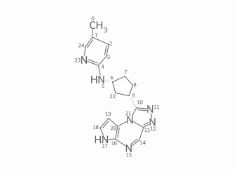 Cc1ccc(N[C@@H]2CC[C@H](c3nnc4cnc5[nH]ccc5n34)C2)nc1